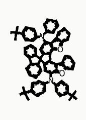 CC(C)(C)c1ccc(N(c2ccc(C(C)(C)C)cc2)c2cc3c(c4c2oc2ccccc24)-c2c(cc(N(c4ccccc4)c4ccc(C(C)(C)C)cc4)c4c2oc2ccccc24)C32c3ccccc3-c3ccccc32)cc1